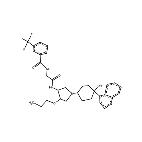 CCCOC1CN(C2CCC(O)(c3ccnc4ccccc34)CC2)CC1NC(=O)CNC(=O)c1cccc(C(F)(F)F)c1